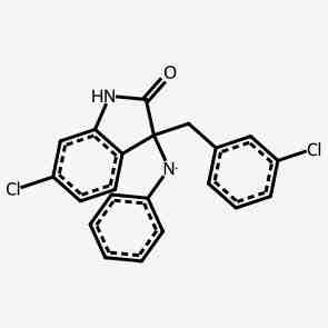 O=C1Nc2cc(Cl)ccc2C1(Cc1cccc(Cl)c1)[N]c1ccccc1